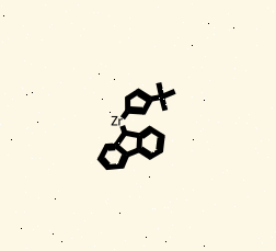 CC(C)(C)C1=CC[C]([Zr][CH]2c3ccccc3-c3ccccc32)=C1